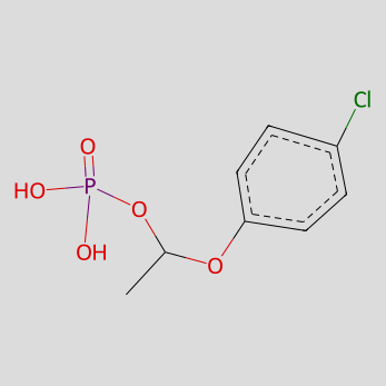 CC(Oc1ccc(Cl)cc1)OP(=O)(O)O